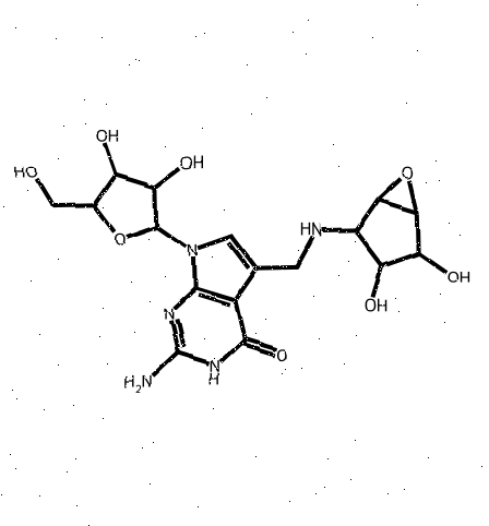 Nc1nc2c(c(CNC3C(O)C(O)C4OC34)cn2C2OC(CO)C(O)C2O)c(=O)[nH]1